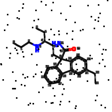 CCCNC(CC)CCC1(C(N)=O)c2ccccc2-c2cc(CC)ccc21